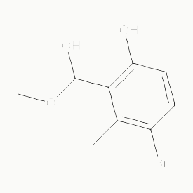 COC(O)c1c(O)ccc(Br)c1C